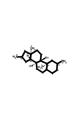 C[C@]12CC[C@H]3[C@@H](CCC4CCC(N)C[C@@]43C)[C@@H]1CC(N)C2